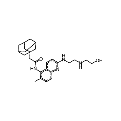 Cc1ccc2nc(NCCNCCO)ccc2c1NC(=O)CC12CC3CC(CC(C3)C1)C2